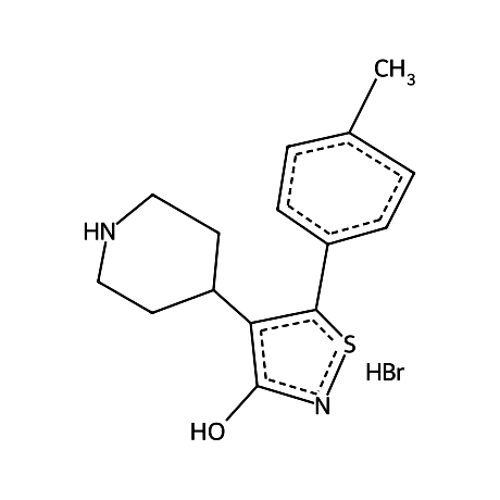 Br.Cc1ccc(-c2snc(O)c2C2CCNCC2)cc1